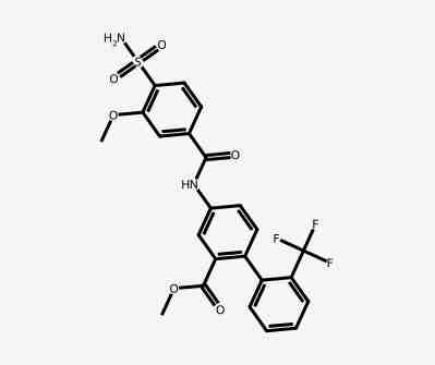 COC(=O)c1cc(NC(=O)c2ccc(S(N)(=O)=O)c(OC)c2)ccc1-c1ccccc1C(F)(F)F